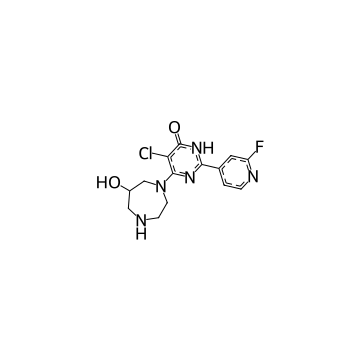 O=c1[nH]c(-c2ccnc(F)c2)nc(N2CCNCC(O)C2)c1Cl